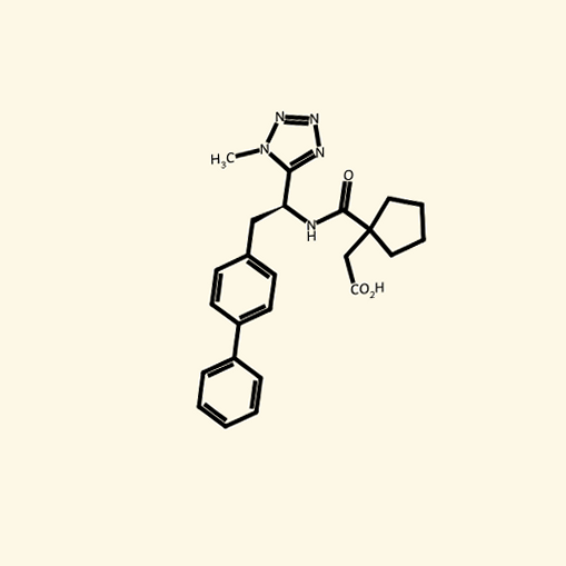 Cn1nnnc1[C@H](Cc1ccc(-c2ccccc2)cc1)NC(=O)C1(CC(=O)O)CCCC1